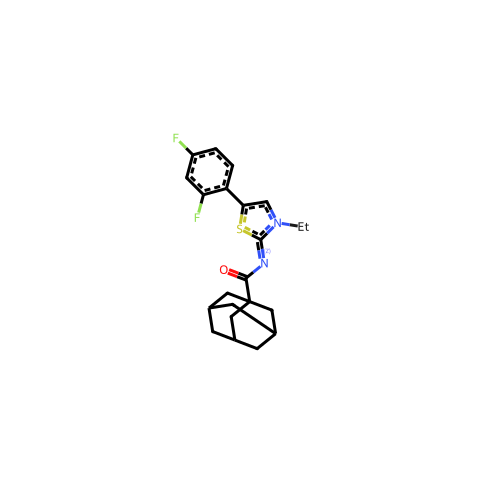 CCn1cc(-c2ccc(F)cc2F)s/c1=N\C(=O)C12CC3CC(CC(C3)C1)C2